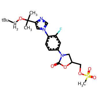 CC(C)(C)[SiH2]OC(C)(C)c1cn(-c2ccc(N3CC(COS(C)(=O)=O)OC3=O)cc2F)cn1